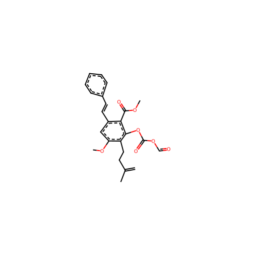 C=C(C)CCc1c(OC)cc(/C=C/c2ccccc2)c(C(=O)OC)c1OC(=O)OC=O